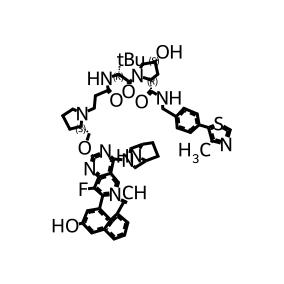 C#Cc1cccc2cc(O)cc(-c3ncc4c(N5CC6CCC(C5)N6)nc(OC[C@@H]5CCCN5CCC(=O)N[C@@H](C(=O)N5C[C@@H](O)C[C@@H]5C(=O)NCc5ccc(-c6scnc6C)cc5)C(C)(C)C)nc4c3F)c12